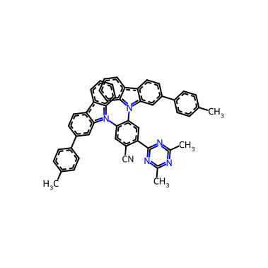 Cc1ccc(-c2ccc3c4ccccc4n(-c4cc(C#N)c(-c5nc(C)nc(C)n5)cc4-n4c5ccccc5c5ccc(-c6ccc(C)cc6)cc54)c3c2)cc1